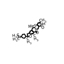 CSc1cc(C)[nH]c(=O)c1CN1CCc2cc3c(c(C)c2C1=O)OC(C)(C1CCC(N(C)C)CC1)C3